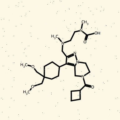 COCC1(COC)CCC(c2c(CN(C)CCN(C)C(=O)O)nn3c2CN(C(=O)C2CCC2)CC3)CC1